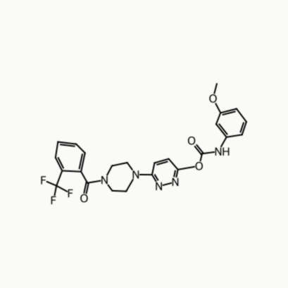 COc1cccc(NC(=O)Oc2ccc(N3CCN(C(=O)c4ccccc4C(F)(F)F)CC3)nn2)c1